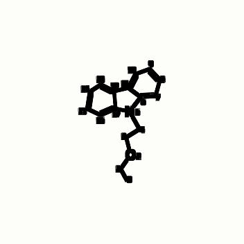 CCOCCn1c2ccccc2c2ccccc21